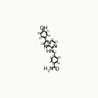 NC(=O)c1ccc(CNc2nccn3c(-c4ccc(O)cc4)cnc23)cc1